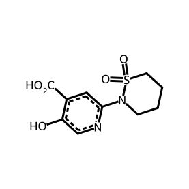 O=C(O)c1cc(N2CCCCS2(=O)=O)ncc1O